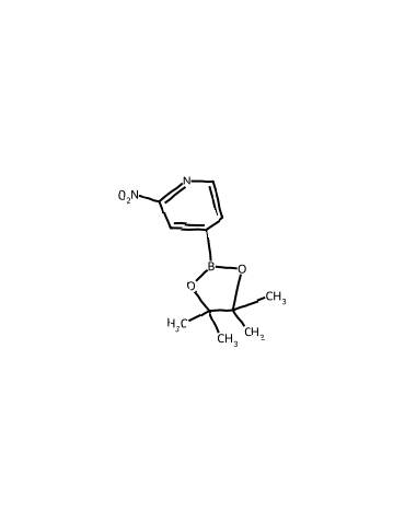 CC1(C)OB(c2ccnc([N+](=O)[O-])c2)OC1(C)C